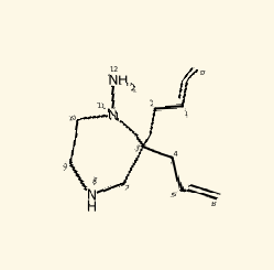 C=CCC1(CC=C)CNCCN1N